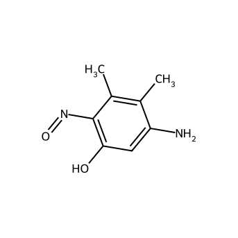 Cc1c(N)cc(O)c(N=O)c1C